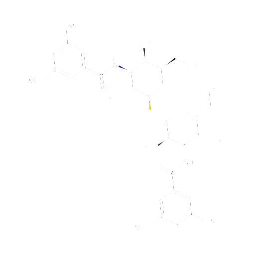 COc1cc(OC)cc(C(=O)N[C@H]2[C@@H](OC(C)=O)[C@@H](COC(C)=O)O[C@@H](S[C@@H]3O[C@H](COC(C)=O)[C@H](OC(C)=O)[C@H](NC(=O)c4cc(OC)cc(OC)c4)[C@H]3OC(C)=O)[C@@H]2OC(C)=O)c1